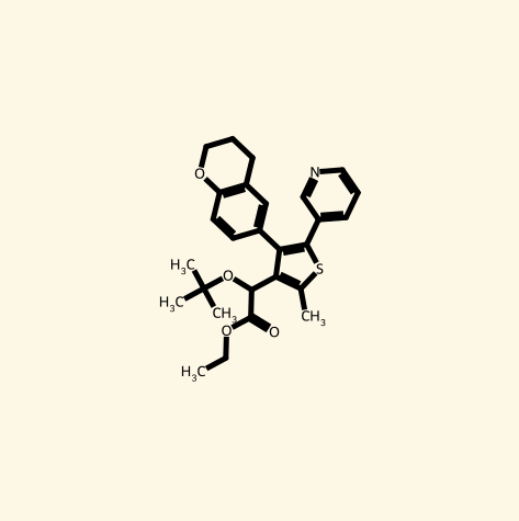 CCOC(=O)C(OC(C)(C)C)c1c(C)sc(-c2cccnc2)c1-c1ccc2c(c1)CCCO2